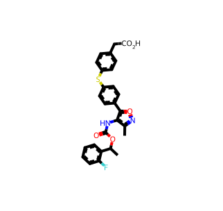 Cc1noc(-c2ccc(Sc3ccc(CC(=O)O)cc3)cc2)c1NC(=O)OC(C)c1ccccc1F